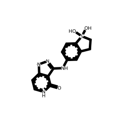 O=c1[nH]ccc2c1C(Nc1ccc3c(c1)CCS3(O)O)=N[N]2